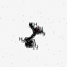 Cc1ncsc1-c1ccc(CNC(=O)[C@@H]2C[C@@H](O)CN2C(=O)[C@@H](NC(=O)COCCOCCCOc2ccc([C@@H](C)NC(=O)C[C@@H]3N=C(c4ccc(Cl)cc4)c4c(sc(C)c4C)-n4c(C)nnc43)cc2)C(C)(C)C)cc1